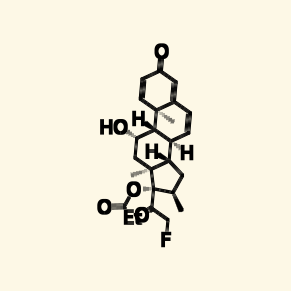 CCC(=O)O[C@@]1(C(=O)CF)[C@H](C)C[C@H]2[C@@H]3C=CC4=CC(=O)C=C[C@]4(C)[C@H]3[C@@H](O)C[C@@]21C